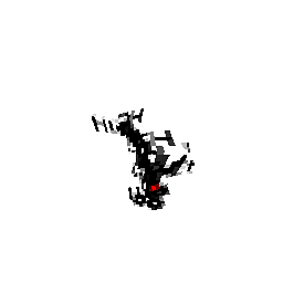 CCON=C(C(=O)NC1C(=O)N2C=C(C(=O)ON3Cc4cc(O)c(O)cc4C3)C(C)S[C@H]12)c1csc(NC(c2ccccc2)(c2ccccc2)c2ccccc2)n1